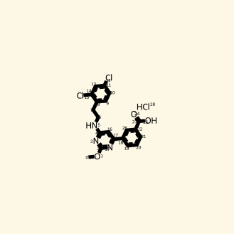 COc1nc(NCCc2ccc(Cl)cc2Cl)cc(-c2cccc(C(=O)O)c2)n1.Cl